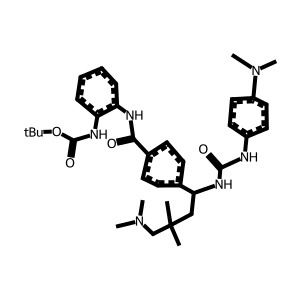 CN(C)CC(C)(C)CC(NC(=O)Nc1ccc(N(C)C)cc1)c1ccc(C(=O)Nc2ccccc2NC(=O)OC(C)(C)C)cc1